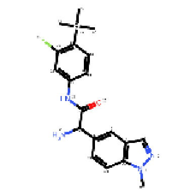 Cn1ncc2cc(C(N)C(=O)Nc3ccc([Si](C)(C)C)c(F)c3)ccc21